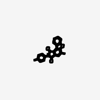 Cc1ccc(N2C(=O)c3cc(C)c4oc5ccccc5c4c3C2=O)cc1